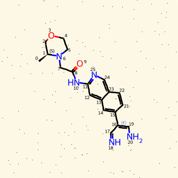 C[C@H]1COCCN1CC(=O)Nc1cc2cc(/C(C=N)=C/N)ccc2cn1